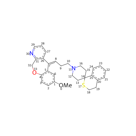 COc1ccc2c(c1)C(=CCCN1CCC3(CC1)SCCc1ccccc13)c1cccnc1CO2